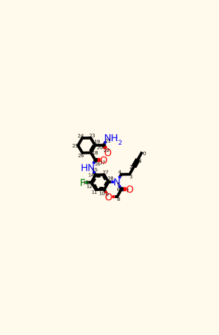 CC#CCCN1C(=O)COc2cc(F)c(NC(=O)C3=C(C(N)=O)CCCC3)cc21